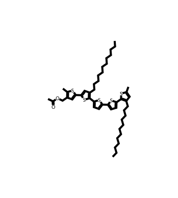 CCCCCCCCCCCCc1cc(C)sc1-c1ccc(-c2ccc(-c3sc(-c4cc(COC(C)=O)c(C)s4)cc3CCCCCCCCCCCC)s2)s1